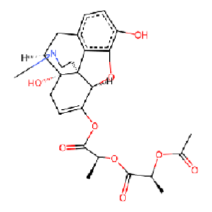 CC(=O)O[C@@H](C)C(=O)O[C@@H](C)C(=O)OC1=CC[C@@]2(O)[C@H]3Cc4ccc(O)c5c4[C@@]2(CCN3C)[C@H]1O5